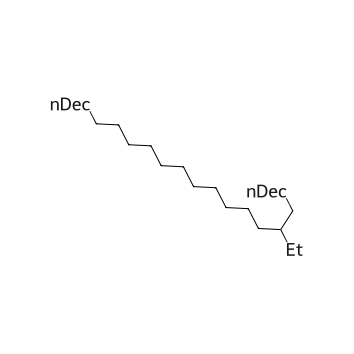 [CH2]CC(CCCCCCCCCCC)CCCCCCCCCCCCCCCCCCCCC